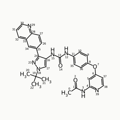 CC(=O)Nc1cc(Oc2ccc(NC(=O)Nc3cn(C(C)(C)C)nc3-c3ccc4ncccc4c3)cc2)ccn1